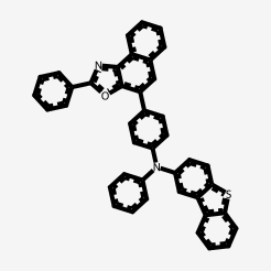 c1ccc(-c2nc3c(o2)c(-c2ccc(N(c4ccccc4)c4ccc5sc6ccccc6c5c4)cc2)cc2ccccc23)cc1